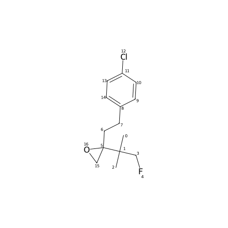 CC(C)(CF)C1(CCc2ccc(Cl)cc2)CO1